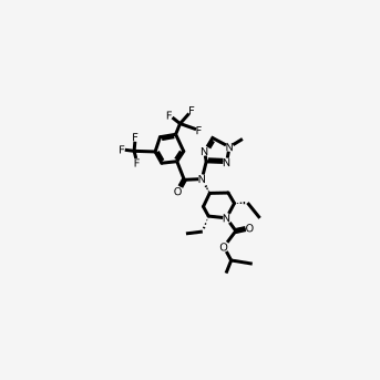 CC[C@@H]1C[C@H](N(C(=O)c2cc(C(F)(F)F)cc(C(F)(F)F)c2)c2ncn(C)n2)C[C@H](CC)N1C(=O)OC(C)C